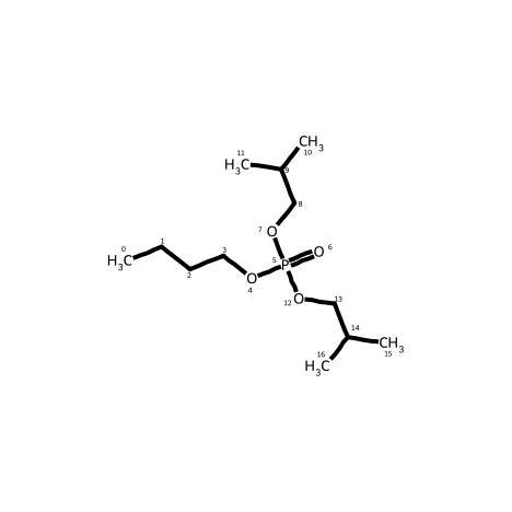 CCCCOP(=O)(OCC(C)C)OCC(C)C